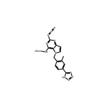 CCCCCNc1nc(N=[N+]=[N-])nc2ccn(Cc3ccc(-c4nnn[nH]4)cc3C)c12